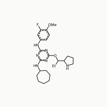 CCC(Oc1nc(Nc2ccc(OC)c(F)c2)nc(NC2CCCCCC2)n1)C1CCCN1